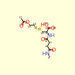 CNC(=O)CCC(=O)NC(CSSCCOC(C)=O)C(=O)O